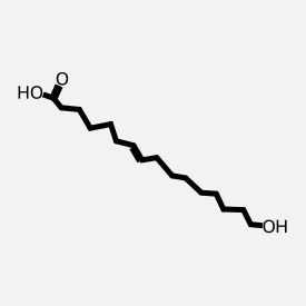 O=C(O)CCCCCC=CCCCCCCCCO